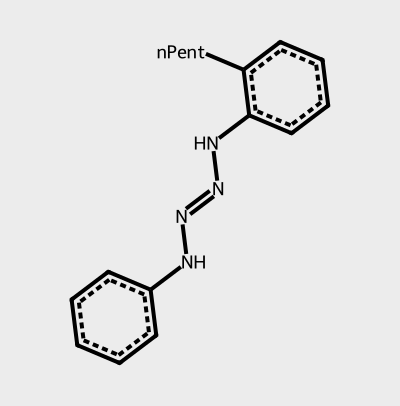 CCCCCc1ccccc1NN=NNc1ccccc1